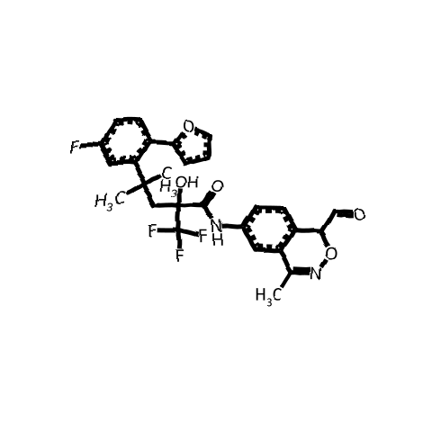 CC1=NOC(C=O)c2ccc(NC(=O)C(O)(CC(C)(C)c3cc(F)ccc3-c3ccco3)C(F)(F)F)cc21